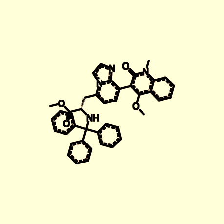 COC(=O)[C@H](Cc1ccc(-c2c(OC)c3ccccc3n(C)c2=O)c2nccn12)NC(c1ccccc1)(c1ccccc1)c1ccccc1